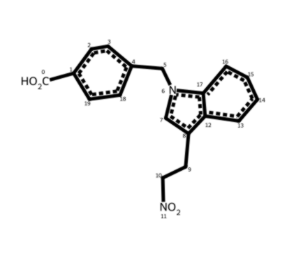 O=C(O)c1ccc(Cn2cc(CC[N+](=O)[O-])c3ccccc32)cc1